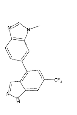 Cn1cnc2ccc(-c3cc(C(F)(F)F)cc4[nH]ncc34)cc21